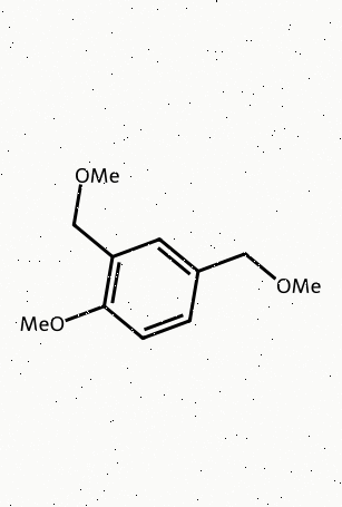 COCc1ccc(OC)c(COC)c1